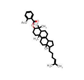 CC(=O)Oc1ccccc1C(=O)OC1CCC2(C)C3=C(CCC2C1(C)C)C1CCC(CCCC=C(C)C)C1(C)CC3